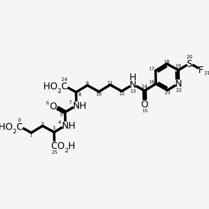 O=C(O)CCC(NC(=O)NC(CCCCNC(=O)c1ccc(SF)nc1)C(=O)O)C(=O)O